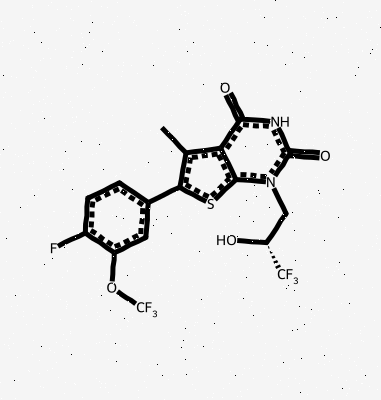 Cc1c(-c2ccc(F)c(OC(F)(F)F)c2)sc2c1c(=O)[nH]c(=O)n2C[C@@H](O)C(F)(F)F